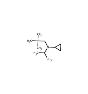 CC(C)N(CC(C)(C)C)C1CC1